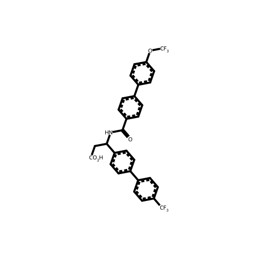 O=C(O)CC(NC(=O)c1ccc(-c2ccc(OC(F)(F)F)cc2)cc1)c1ccc(-c2ccc(C(F)(F)F)cc2)cc1